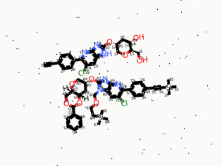 C#Cc1ccc(-c2nc3nc(O[C@H]4CO[C@H](CO)[C@@H](O)C4)[nH]c3cc2Cl)cc1.C[Si](C)(C)C#Cc1ccc(-c2nc3nc(O[C@H]4CO[C@@H]5COC(c6ccccc6)O[C@H]5C4)n(COCC[Si](C)(C)C)c3cc2Cl)cc1